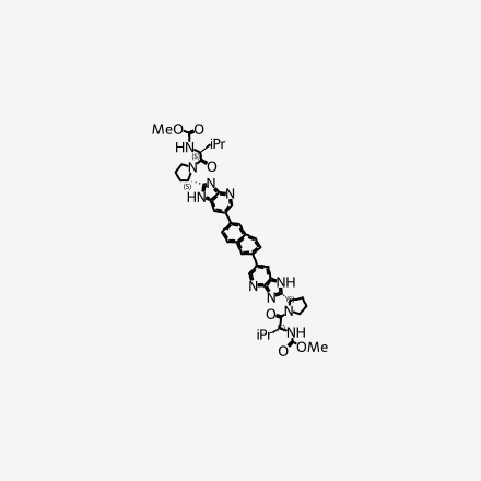 COC(=O)N[C@H](C(=O)N1CCC[C@H]1c1nc2ncc(-c3ccc4cc(-c5cnc6nc([C@@H]7CCCN7C(=O)[C@@H](NC(=O)OC)C(C)C)[nH]c6c5)ccc4c3)cc2[nH]1)C(C)C